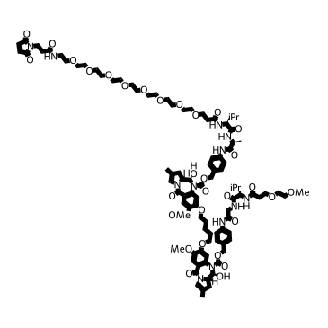 COCCOCCC(=O)N[C@@H](C(=O)NCC(=O)Nc1ccc(COC(=O)N2c3cc(OCCCCCOc4cc5c(cc4OC)C(=O)N4C=C(C)C[C@H]4[C@H](O)N5C(=O)OCc4ccc(NC(=O)[C@@H](C)NC(=O)[C@H](NC(=O)CCOCCOCCOCCOCCOCCOCCOCCOCCNC(=O)CCN5C(=O)C=CC5=O)C(C)C)cc4)c(OC)cc3C(=O)N3C=C(C)C[C@H]3[C@@H]2O)cc1)C(C)C